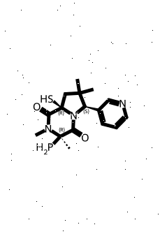 CN1C(=O)[C@]2(S)CC(C)(C)[C@@H](c3cccnc3)N2C(=O)[C@@]1(C)P